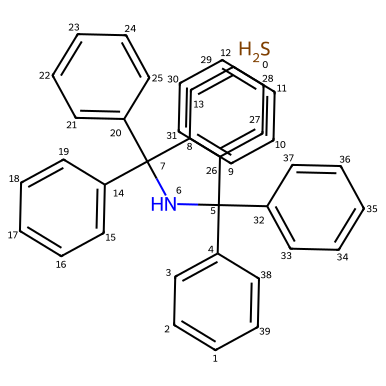 S.c1ccc(C(NC(c2ccccc2)(c2ccccc2)c2ccccc2)(c2ccccc2)c2ccccc2)cc1